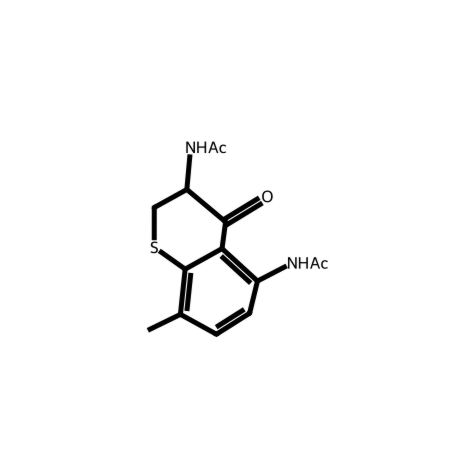 CC(=O)Nc1ccc(C)c2c1C(=O)C(NC(C)=O)CS2